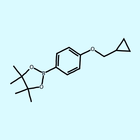 CC1(C)OB(c2ccc(OCC3CC3)cc2)OC1(C)C